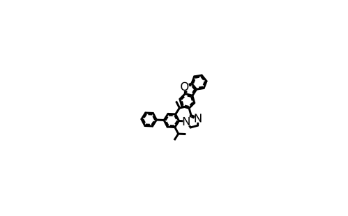 CC(C)c1cc(-c2ccccc2)cc(C(C)C)c1N1CCN=C1c1ccc2oc3ccccc3c2c1